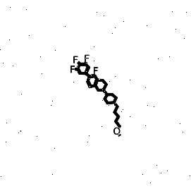 COCCCCCC1CCC(C2CCc3c(ccc(-c4cc(F)c(F)c(F)c4)c3F)C2)CC1